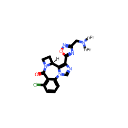 CCCN(CCC)Cc1noc(-c2ncn3c2[C@@H]2CCN2C(=O)c2c(Cl)cccc2-3)n1